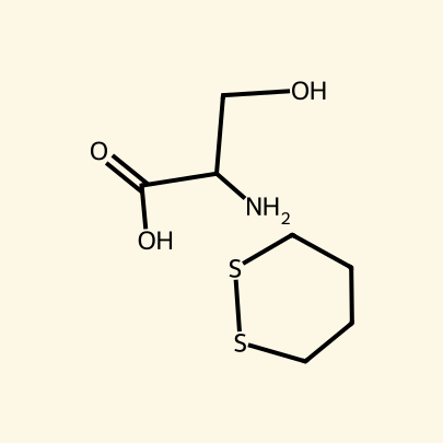 C1CCSSC1.NC(CO)C(=O)O